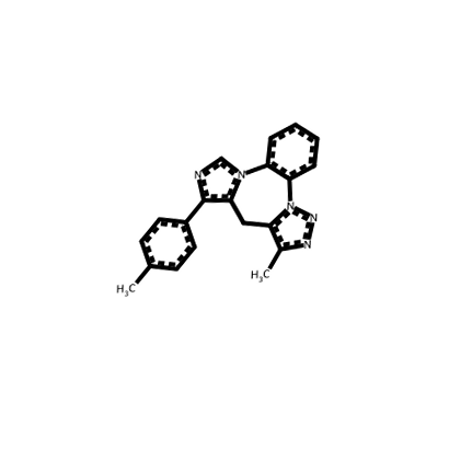 Cc1ccc(-c2ncn3c2Cc2c(C)nnn2-c2ccccc2-3)cc1